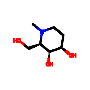 CN1CC[C@@H](O)[C@H](O)[C@H]1CO